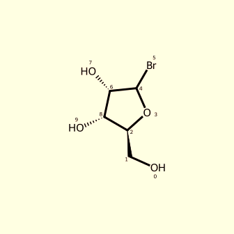 OC[C@@H]1OC(Br)[C@@H](O)[C@H]1O